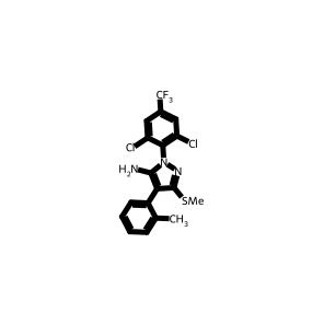 CSc1nn(-c2c(Cl)cc(C(F)(F)F)cc2Cl)c(N)c1-c1ccccc1C